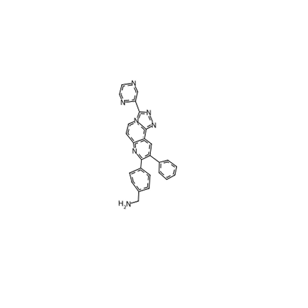 NCc1ccc(-c2nc3ccn4c(-c5cnccn5)nnc4c3cc2-c2ccccc2)cc1